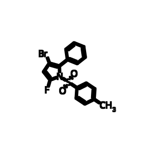 Cc1ccc(S(=O)(=O)n2c(F)cc(Br)c2-c2ccccc2)cc1